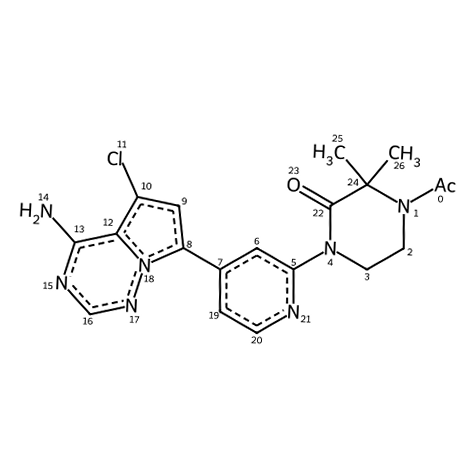 CC(=O)N1CCN(c2cc(-c3cc(Cl)c4c(N)ncnn34)ccn2)C(=O)C1(C)C